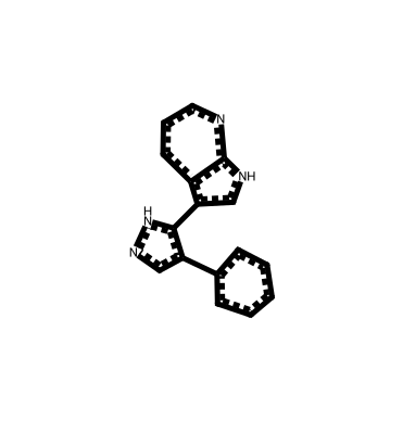 c1ccc(-c2cn[nH]c2-c2c[nH]c3ncccc23)cc1